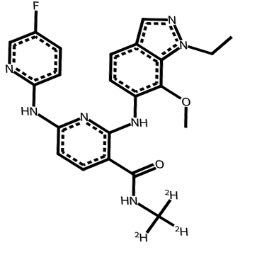 [2H]C([2H])([2H])NC(=O)c1ccc(Nc2ccc(F)cn2)nc1Nc1ccc2cnn(CC)c2c1OC